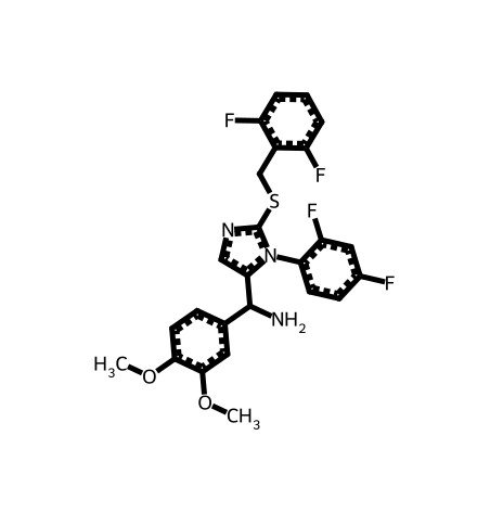 COc1ccc(C(N)c2cnc(SCc3c(F)cccc3F)n2-c2ccc(F)cc2F)cc1OC